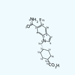 NC(=O)c1cc2c(ccn2C[C@H]2CC[C@H](C(=O)O)CC2)cc1F